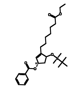 CCOC(=O)CCCCCCC1=C[C@@H](OC(=O)c2ccccc2)CC1O[Si](C)(C)C(C)(C)C